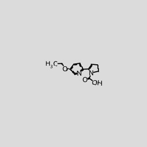 CCOc1ccc(C2=CCCN2C(=O)O)nc1